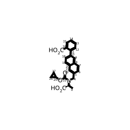 C[C@@H](C(=O)O)N(Cc1ccc2cc(-c3ccccc3C(=O)O)ccc2c1)C(=O)OC1CC1